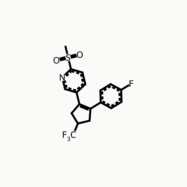 CS(=O)(=O)c1ccc(C2=C(c3ccc(F)cc3)CC(C(F)(F)F)C2)cn1